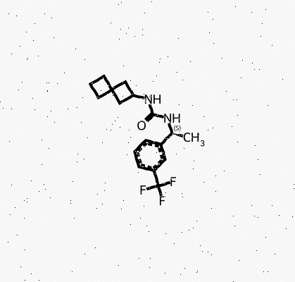 C[C@H](NC(=O)NC1CC2(CCC2)C1)c1cccc(C(F)(F)F)c1